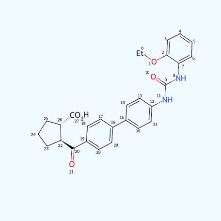 CCOc1ccccc1NC(=O)Nc1ccc(-c2ccc(C(=O)[C@H]3CCC[C@@H]3C(=O)O)cc2)cc1